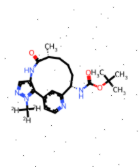 [2H]C([2H])([2H])n1ncc2c1-c1ccnc(c1)[C@@H](NC(=O)OC(C)(C)C)CCC[C@@H](C)C(=O)N2